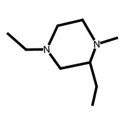 CCC1CN(CC)CCN1C